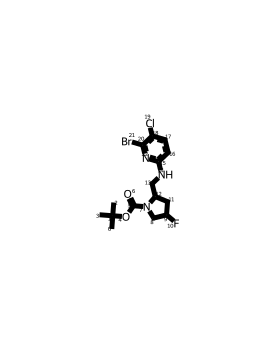 CC(C)(C)OC(=O)N1CC(F)CC1CNc1ccc(Cl)c(Br)n1